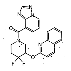 O=C(c1cccn2ncnc12)N1CCC(F)(F)C(Oc2ccc3ccccc3n2)C1